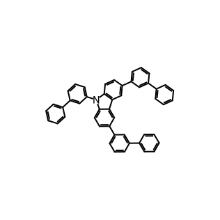 c1ccc(-c2cccc(-c3ccc4c(c3)c3cc(-c5cccc(-c6ccccc6)c5)ccc3n4-c3cccc(-c4ccccc4)c3)c2)cc1